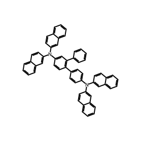 c1ccc(-c2cc(N(c3ccc4ccccc4c3)c3ccc4ccccc4c3)ccc2-c2ccc(N(c3ccc4ccccc4c3)c3ccc4ccccc4c3)cc2)cc1